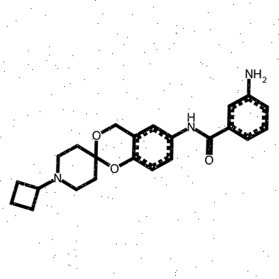 Nc1cccc(C(=O)Nc2ccc3c(c2)COC2(CCN(C4CCC4)CC2)O3)c1